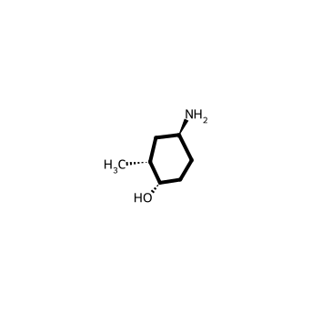 C[C@@H]1C[C@@H](N)CC[C@@H]1O